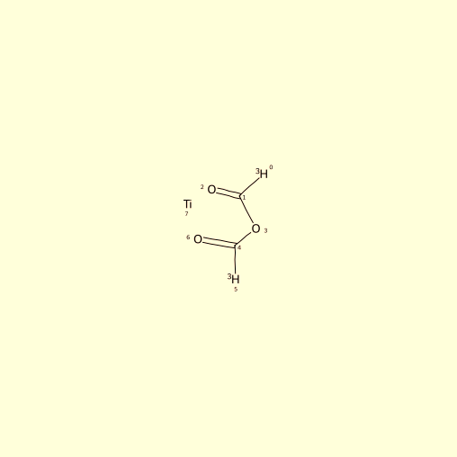 [3H]C(=O)OC([3H])=O.[Ti]